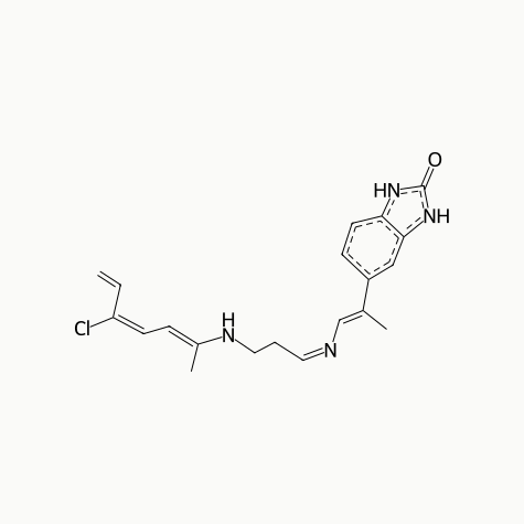 C=C/C(Cl)=C\C=C(/C)NCC/C=N\C=C(/C)c1ccc2[nH]c(=O)[nH]c2c1